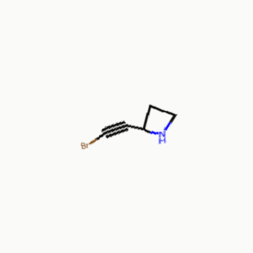 BrC#CC1CCN1